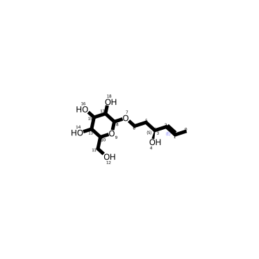 C/C=C/[C@@H](O)CCOC1OC(CO)C(O)C(O)C1O